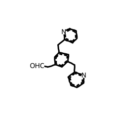 O=CCc1cc(Cc2ccccn2)cc(Cc2ccccn2)c1